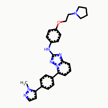 Cn1nccc1-c1ccc(-c2cccc3nc(Nc4ccc(OCCN5CCCC5)cc4)nn23)cc1